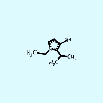 [2H]c1ccn(CC)c1C(C)C